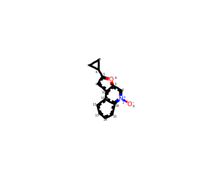 [O-][n+]1cc2oc(C3CC3)cc2c2ccccc21